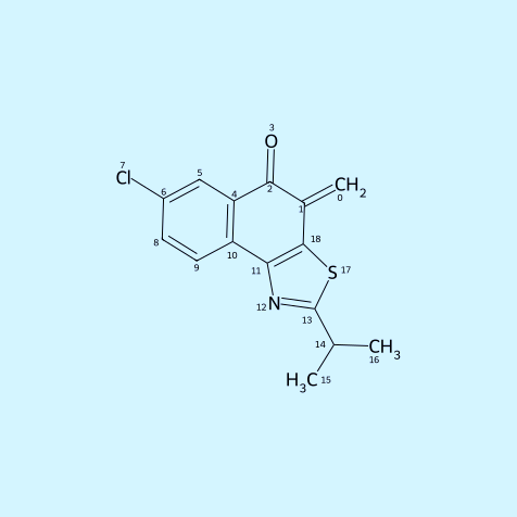 C=C1C(=O)c2cc(Cl)ccc2-c2nc(C(C)C)sc21